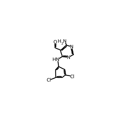 Nc1ncnc(Nc2cc(Cl)cc(Cl)c2)c1C=O